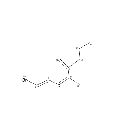 C=C(CCC)/C(C)=C\C=C\Br